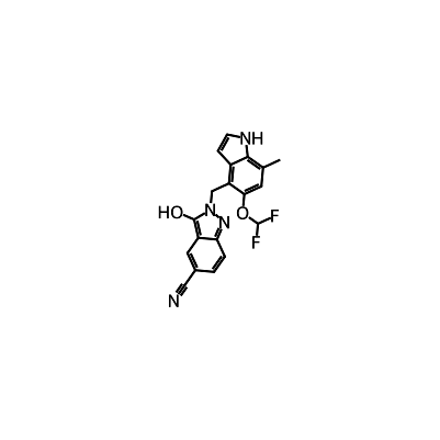 Cc1cc(OC(F)F)c(Cn2nc3ccc(C#N)cc3c2O)c2cc[nH]c12